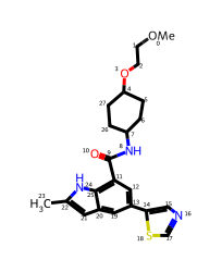 COCCOC1CCC(NC(=O)c2cc(-c3cncs3)cc3cc(C)[nH]c23)CC1